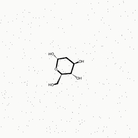 OC[C@H]1O[C@H](O)C[C@@H](O)[C@@H]1O